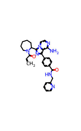 C=CC(=O)N1CCCCCC1c1nc(-c2ccc(C(=O)NCc3ccccn3)cc2)c2c(N)nccn12